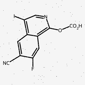 N#Cc1cc2c(I)cnc(OC(=O)O)c2cc1F